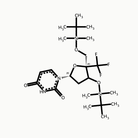 CC(C)(C)[Si](C)(C)OC[C@@]1(C(F)(F)F)O[C@@H](n2ccc(=O)[nH]c2=O)CC1O[Si](C)(C)C(C)(C)C